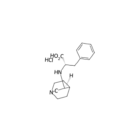 Cl.O=C(O)[C@H](Cc1ccccc1)N[C@@H]1CN2CCC1CC2